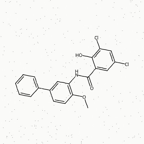 COc1ccc(-c2ccccc2)cc1NC(=O)c1cc(Cl)cc(Cl)c1O